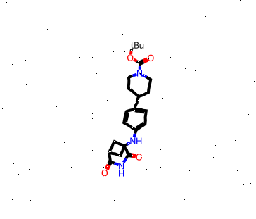 CC(C)(C)OC(=O)N1CCC(c2ccc(NC34CC(C3)C(=O)NC4=O)cc2)CC1